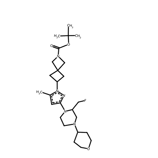 Cc1cc(N2CCN(C3CCOCC3)CC2CF)nn1C1CC2(C1)CN(C(=O)OC(C)(C)C)C2